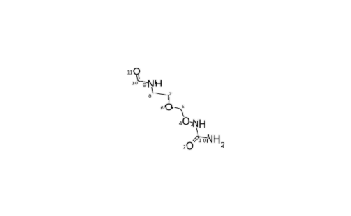 NC(=O)NOCOCCNC=O